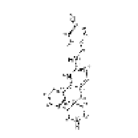 Clc1ccc(CNc2ncc3c(n2)-c2ccccc2C2(CCNCC2)C3)cc1